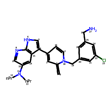 C=C1C=C(c2c[nH]c3ncc(N(CCC)CCC)cc23)C=CN1Cc1cc(Cl)cc(CN)c1